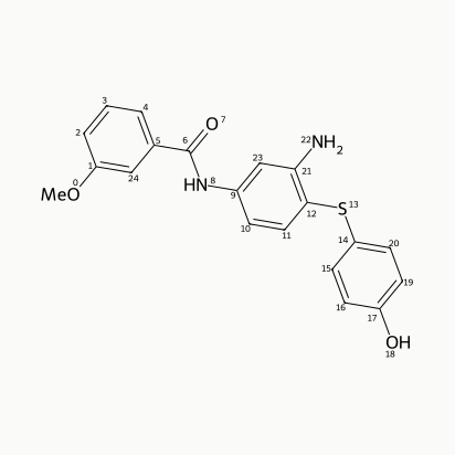 COc1cccc(C(=O)Nc2ccc(Sc3ccc(O)cc3)c(N)c2)c1